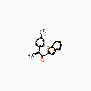 C=C(C(=O)c1cc2ccccc2s1)c1ccc(C(F)(F)F)cc1